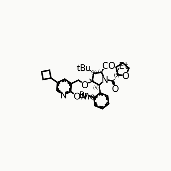 CCOC(=O)[C@@H]1[C@@H](C(C)(C)C)[C@H](OCc2cc(C3CCC3)cnc2OC)[C@H](c2ccccc2Br)N1C(=O)[C@@H]1CCCO1